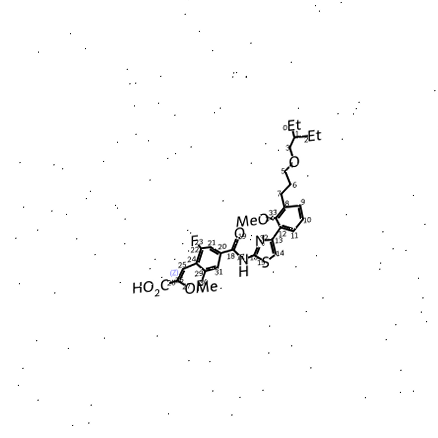 CCC(CC)COCCCc1cccc(-c2csc(NC(=O)c3cc(F)c(/C=C(\OC)C(=O)O)c(F)c3)n2)c1OC